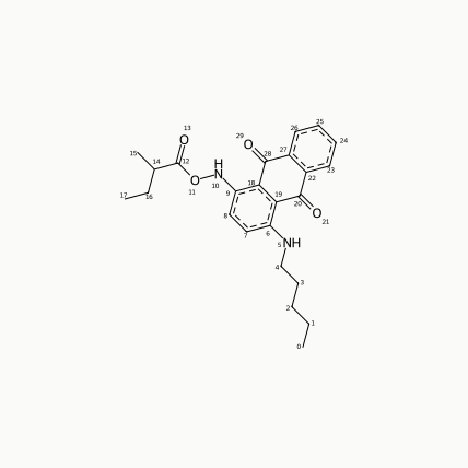 CCCCCNc1ccc(NOC(=O)C(C)CC)c2c1C(=O)c1ccccc1C2=O